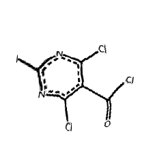 O=C(Cl)c1c(Cl)nc(I)nc1Cl